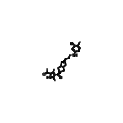 CC(=O)c1[nH]c(C)c(C(=O)N2CC3CN(CCCNc4ccc(C)c(Cl)c4)CC3C2)c1C